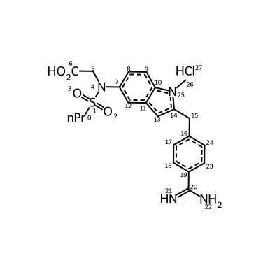 CCCS(=O)(=O)N(CC(=O)O)c1ccc2c(c1)cc(Cc1ccc(C(=N)N)cc1)n2C.Cl